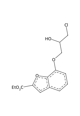 CCOC(=O)c1cc2cccc(OCC(O)CCl)c2o1